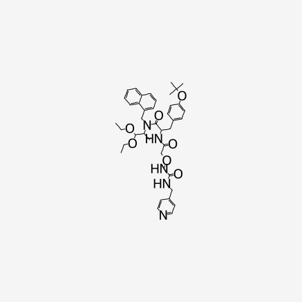 CCOC(OCC)C(C)N(Cc1cccc2ccccc12)C(=O)C(Cc1ccc(OC(C)(C)C)cc1)NC(=O)CONC(=O)NCc1ccncc1